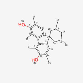 Cc1cc(C2(c3cc(C)c(O)c(C)c3)CC(C)CC(C)C2)cc(C)c1O